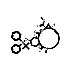 COC(=O)[C@@]12C[C@H]1C=CCCCCN(C)C(=O)[C@@H]1CC[C@@H](O[Si](c3ccccc3)(c3ccccc3)C(C)(C)C)C[C@H]1C(=O)N2